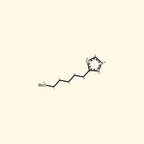 CC(C)COCCCCCc1nnco1